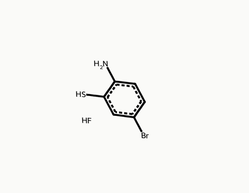 F.Nc1ccc(Br)cc1S